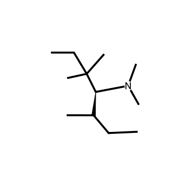 CCC(C)[C@H](N(C)C)C(C)(C)CC